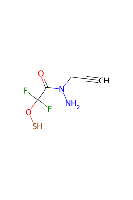 C#CCN(N)C(=O)C(F)(F)OS